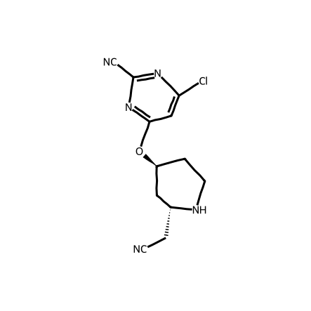 N#CC[C@@H]1C[C@@H](Oc2cc(Cl)nc(C#N)n2)CCN1